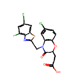 O=C(O)CC1Oc2ccc(Cl)cc2N(Cc2nc3c(F)cc(F)cc3s2)C1=O